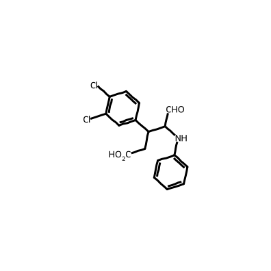 O=CC(Nc1ccccc1)C(CC(=O)O)c1ccc(Cl)c(Cl)c1